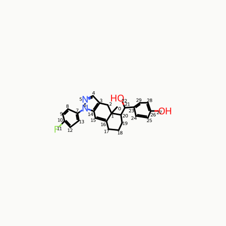 CC12Cc3cnn(-c4ccc(F)cc4)c3C=C1CCCC2C(O)c1ccc(O)cc1